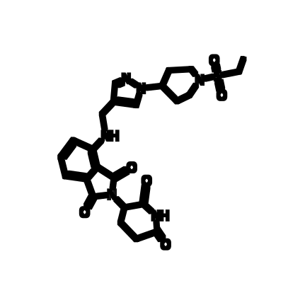 CCS(=O)(=O)N1CCC(n2cc(CNc3cccc4c3C(=O)N(C3CCC(=O)NC3=O)C4=O)cn2)CC1